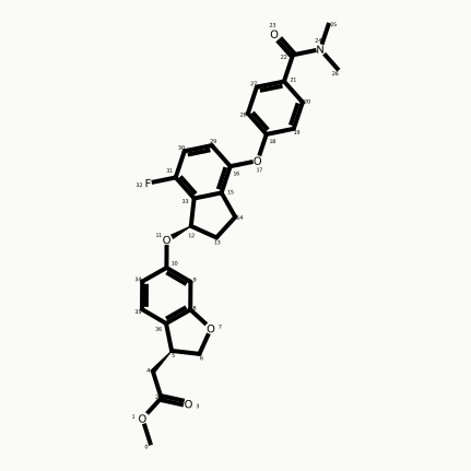 COC(=O)C[C@@H]1COc2cc(O[C@@H]3CCc4c(Oc5ccc(C(=O)N(C)C)cc5)ccc(F)c43)ccc21